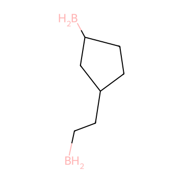 BCCC1CCC(B)C1